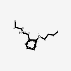 CCCCOc1ccccc1CNCCC